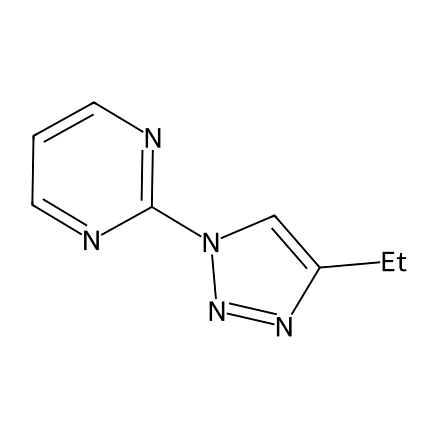 CCc1cn(-c2ncccn2)nn1